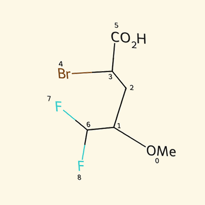 COC(CC(Br)C(=O)O)C(F)F